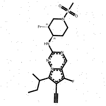 C#Cc1c(F)c2cnc(N[C@@H]3CCN(S(C)(=O)=O)C[C@H]3F)nn2c1C(C)CC